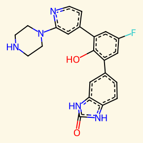 O=c1[nH]c2ccc(-c3cc(F)cc(-c4ccnc(N5CCNCC5)c4)c3O)cc2[nH]1